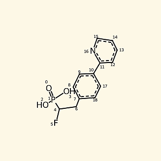 O=P(O)(O)C(F)Cc1ccc(-c2ccccn2)cc1